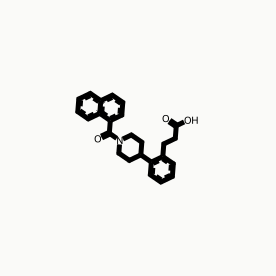 O=C(O)CCc1ccccc1C1CCN(C(=O)c2cccc3ccccc23)CC1